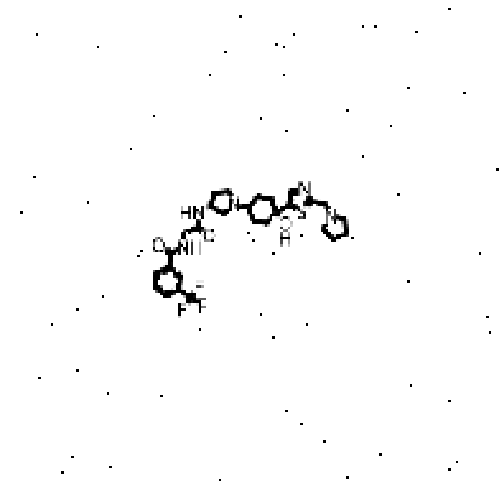 O=C(CNC(=O)c1cccc(C(F)(F)F)c1)N[C@@H]1CCN(C2CCC(O)(c3cnc(CN4CCCC4)s3)CC2)C1